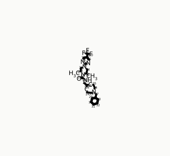 C[C@@H]1CN(c2ncc(C(F)(F)F)cn2)C[C@@H](C)N1C(=O)NCC1CCCN(Cc2ccccc2)CCC1